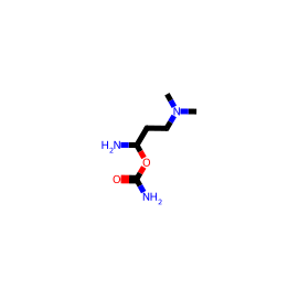 CN(C)CCC(N)OC(N)=O